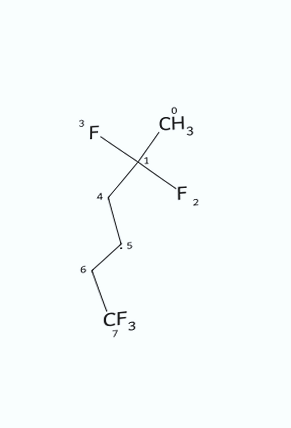 CC(F)(F)C[CH]CC(F)(F)F